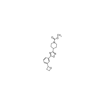 COC(=O)N1CCC(c2noc(-c3cccc(C4CCO4)c3)n2)CC1